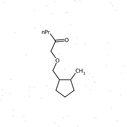 CCCC(=O)COCC1CCCC1C